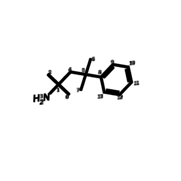 CC(C)(N)CC(C)(C)c1ccccc1